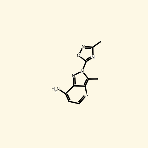 Cc1noc(-n2nc3c(N)ccnc3c2C)n1